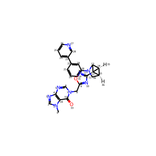 Cn1cnc2ncn(Cc3nc([C@@]45C6[C@H]4[C@H]5CN6c4cccc(-c5cccnc5)c4)no3)c(=O)c21